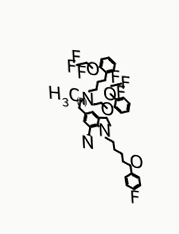 C[C@H](Cc1cc(C#N)c2c(c1)CCN2CCCCCC(=O)c1ccc(F)cc1)N(CCCCc1ccccc1OCC(F)(F)F)CCOc1ccccc1OCC(F)(F)F